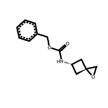 O=C(N[C@H]1C[C@]2(CO2)C1)OCc1ccccc1